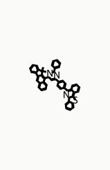 CC1(C)c2ccccc2-c2cc3ccccc3c(-c3cc(-c4ccc(-c5nc6c7ccccc7sc6c6ccccc56)cc4)nc(-c4ccccc4)n3)c21